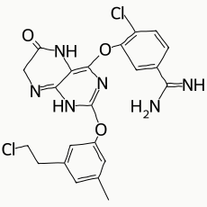 Cc1cc(CCCl)cc(OC2=NC(Oc3cc(C(=N)N)ccc3Cl)=C3NC(=O)CN=C3N2)c1